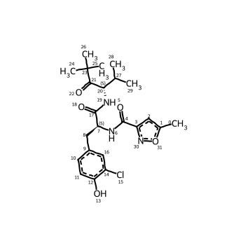 Cc1cc(C(=O)N[C@@H](Cc2ccc(O)c(Cl)c2)C(=O)N[C@H](C(=O)C(C)(C)C)C(C)C)no1